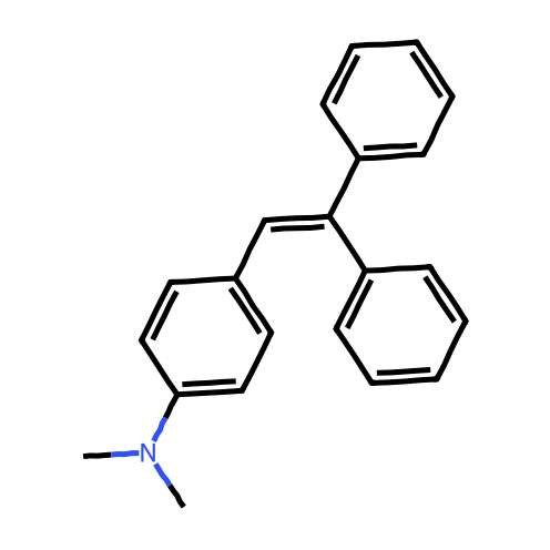 CN(C)c1ccc(C=C(c2ccccc2)c2ccccc2)cc1